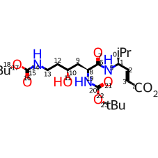 CC(C)[C@@H](/C=C/C(=O)O)NC(=O)[C@H](C[C@@H](O)CCNC(=O)OC(C)(C)C)NC(=O)OC(C)(C)C